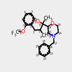 CC(Cc1ccccc1OC(F)(F)F)C(C)(O)C1CN(Cc2ccccc2)CCO1